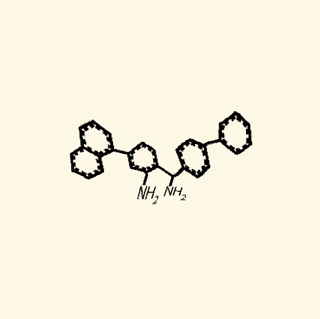 Nc1cc(-c2cccc3ccccc23)ccc1C(N)c1ccc(-c2ccccc2)cc1